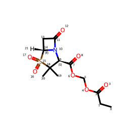 CCC(=O)OCOC(=O)[C@@H]1N2C(=O)C[C@H]2S(=O)(=O)C1(C)C